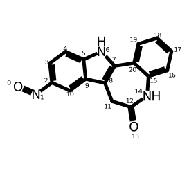 O=Nc1ccc2[nH]c3c(c2c1)CC(=O)Nc1ccccc1-3